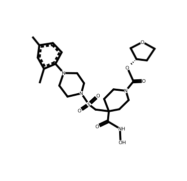 Cc1ccc(N2CCN(S(=O)(=O)CC3(C(=O)NO)CCN(C(=O)O[C@H]4CCOC4)CC3)CC2)c(C)c1